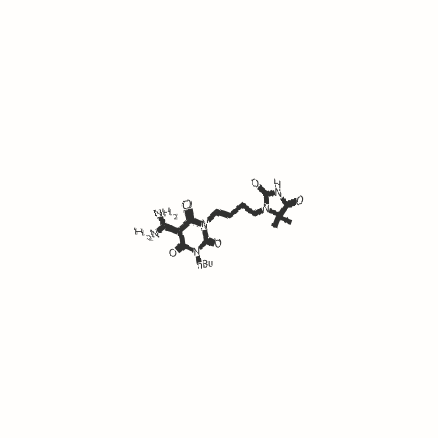 CCCCN1C(=O)C(=C(N)N)C(=O)N(CCCCN2C(=O)NC(=O)C2(C)C)C1=O